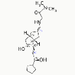 CN(C)C(=O)CN/C=C1\C[C@H]2C[C@@H](O)[C@H](/C=C/[C@@H](O)C3CCCC3)[C@H]2C1